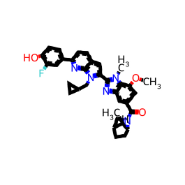 COc1cc(C(=O)N2CC3CCC2[C@@H]3C)cc2nc(-c3cc4ccc(-c5ccc(O)c(F)c5)nc4n3CC3CC3)n(C)c12